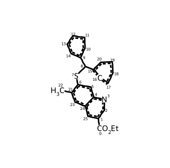 CCOC(=O)c1cnc2cc(SC(c3ccccc3)c3ccccc3)c(C)cc2c1